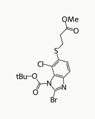 COC(=O)CCSc1ccc2nc(Br)n(C(=O)OC(C)(C)C)c2c1Cl